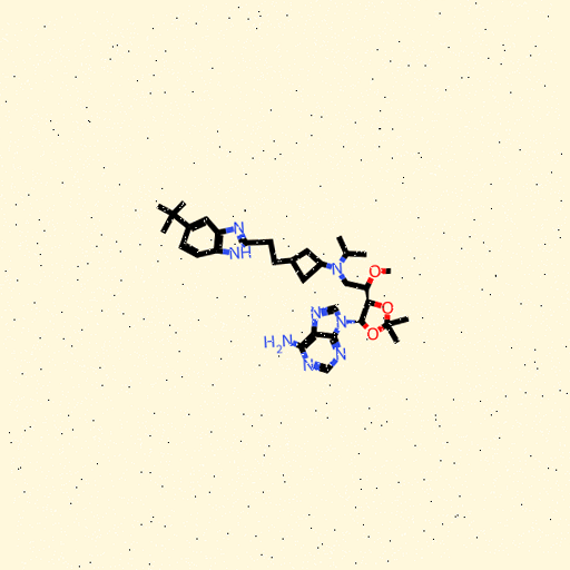 COC(CN(C(C)C)C1CC(CCc2nc3cc(C(C)(C)C)ccc3[nH]2)C1)[C@H]1OC(C)(C)O[C@H]1n1cnc2c(N)ncnc21